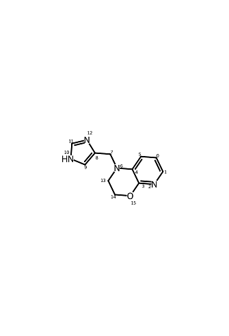 c1cnc2c(c1)N(Cc1c[nH]cn1)CCO2